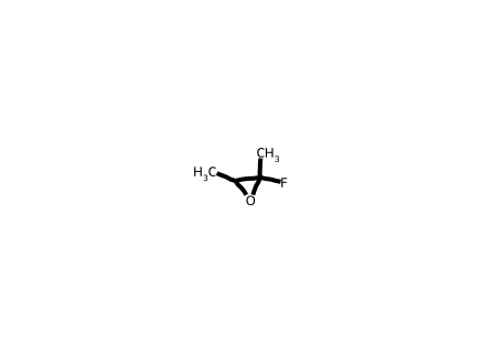 CC1OC1(C)F